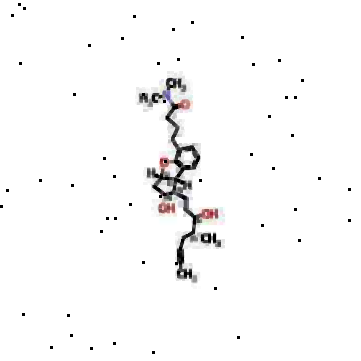 CC#CC[C@@H](C)[C@H](O)/C=C/[C@@H]1[C@H]2c3cccc(CCCC(=O)N(C)C)c3O[C@H]2C[C@H]1O